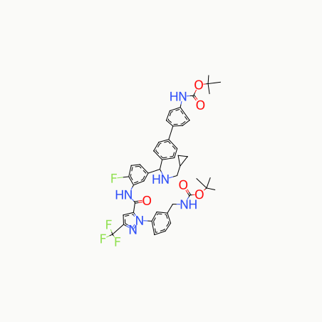 CC(C)(C)OC(=O)NCc1cccc(-n2nc(C(F)(F)F)cc2C(=O)Nc2cc(C(NCC3CC3)c3ccc(-c4ccc(NC(=O)OC(C)(C)C)cc4)cc3)ccc2F)c1